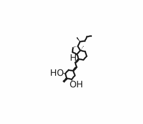 C=C1[C@H](O)CC(=C/C=C2\CCC[C@]3(C)[C@@H]([C@@H](C)CCC)CC[C@@H]23)C[C@H]1O